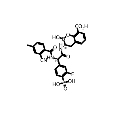 Cc1ccc(C(=O)N[C@@H](C(=O)N[C@H]2Cc3cccc(C(=O)O)c3OB2O)c2ccc(P(=O)(O)O)c(F)c2)c(C#N)c1